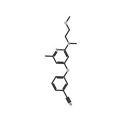 COCCN(C)c1cc(Oc2cccc(C#N)c2)cc(C)n1